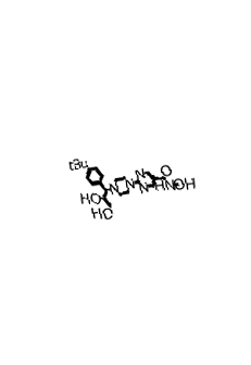 CC(C)(C)c1ccc([C@H]([C@H](O)CO)N2CCN(c3ncc(C(=O)NO)cn3)CC2)cc1